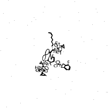 C/C=C\CCCCC[C@H](NC(=O)OC1(CC)CC1)C(=O)N1C[C@H](OC(=O)N2Cc3cccc(F)c3C2)C[C@H]1C(=O)NC1(C(=O)NS(=O)(=O)C2CC2)CC1